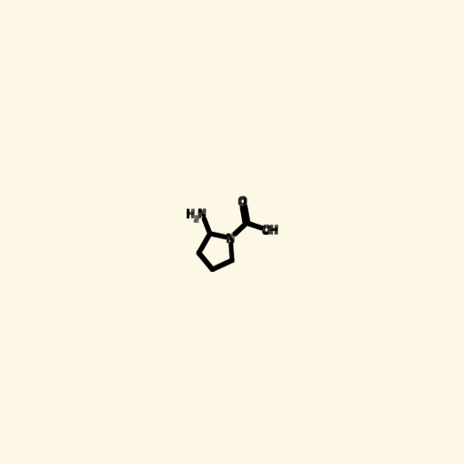 NC1CCCN1C(=O)O